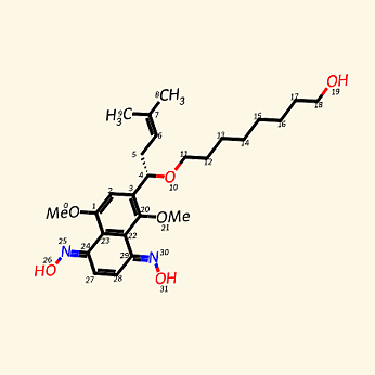 COc1cc([C@H](CC=C(C)C)OCCCCCCCCO)c(OC)c2c1C(=NO)C=CC2=NO